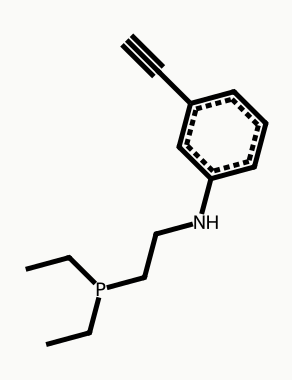 C#Cc1cccc(NCCP(CC)CC)c1